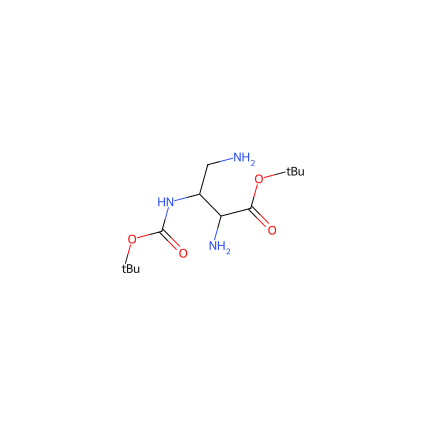 CC(C)(C)OC(=O)NC(CN)C(N)C(=O)OC(C)(C)C